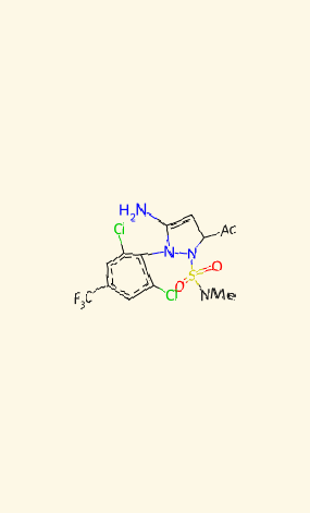 CNS(=O)(=O)N1C(C(C)=O)C=C(N)N1c1c(Cl)cc(C(F)(F)F)cc1Cl